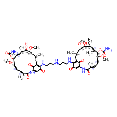 CO[C@H]1/C=C\C=C(/C)C(=O)NC2=CC(=O)C(NCCCNCCCNC3=C4C[C@@H](C)C[C@H](OC)[C@H](O)[C@@H](C)/C=C(\C)[C@H](OC(N)=O)[C@@H](OC)/C=C\C=C(/C)C(=O)NC(=CC3=O)C4=O)=C(C[C@@H](C)C[C@H](OC)[C@H](O)[C@@H](C)/C=C(\C)[C@@H]1OC(N)=O)C2=O